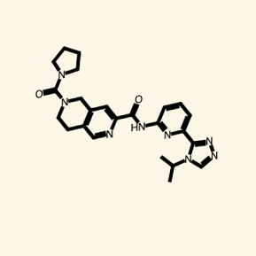 CC(C)n1cnnc1-c1cccc(NC(=O)c2cc3c(cn2)CCN(C(=O)N2CCCC2)C3)n1